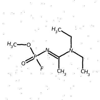 CCN(CC)C(C)=NP(=O)(F)OC